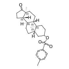 Cc1ccc(S(=O)(=O)OC2CC[C@@]3(C)[C@@H](CC[C@@H]4[C@@H]3CC[C@]3(C)C(=O)CC[C@@H]43)C2)cc1